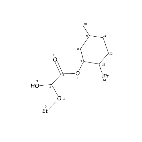 CCOC(O)C(=O)OC1CC(C)CCC1C(C)C